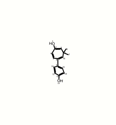 CC1(C)C=C(O)C=CC(c2ccc(O)cc2)=C1